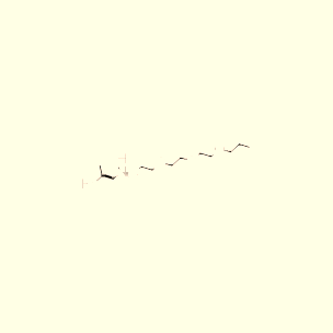 CCCOCCOCCOCCON/C=C(\C)Br